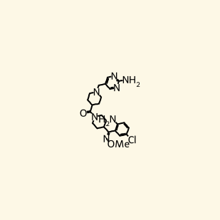 CO/N=C(\c1cc(Cl)ccc1N)C1CCN(C(=O)C2CCN(Cc3cnc(N)nc3)CC2)CC1